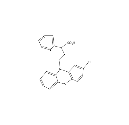 O=S(=O)(O)C(CCN1c2ccccc2Sc2ccc(Cl)cc21)c1ccccn1